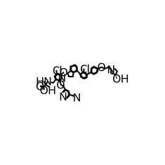 CC(C)(NCc1cc(Cl)c(O[C@H]2CCc3c(-c4cccc(-c5ccc(OCCN6CC[C@@H](O)C6)cc5)c4Cl)cccc32)nc1OCc1cncc(C#N)c1)C(=O)O